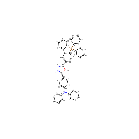 c1ccc(N(c2ccccc2)c2ccc(-c3nnc(-c4ccc(S(c5ccccc5)(c5ccccc5)c5ccccc5)cc4)o3)cc2)cc1